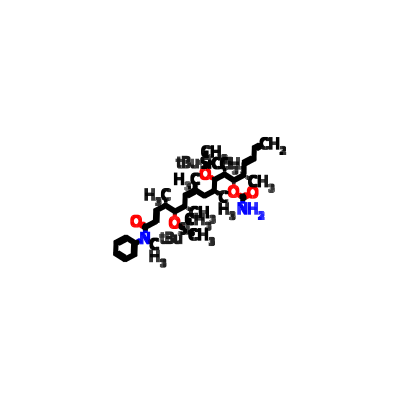 C=CC=C[C@H](C)[C@H](OC(N)=O)[C@@H](C)[C@H](O[Si](C)(C)C(C)(C)C)[C@@H](C)CC(C)=C[C@H](C)[C@@H](O[Si](C)(C)C(C)(C)C)[C@@H](C)C=CC(=O)N(C)c1ccccc1